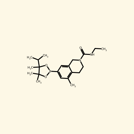 CCNC(=O)N1CCc2c(C)cc(B3OC(C)(C)C(C)(C(C)C)O3)cc2C1